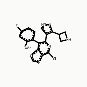 COc1cc(F)ccc1-c1c(-c2c[nH]nc2C2CNC2)nc(Cl)c2ncsc12